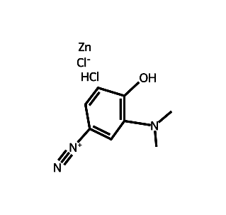 CN(C)c1cc([N+]#N)ccc1O.Cl.[Cl-].[Zn]